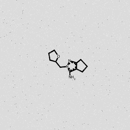 Nc1c2c(nn1CC1CCCO1)CCC2